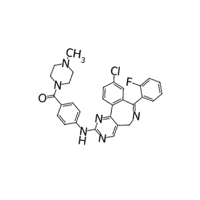 CN1CCN(C(=O)c2ccc(Nc3ncc4c(n3)-c3ccc(Cl)cc3C(c3ccccc3F)=NC4)cc2)CC1